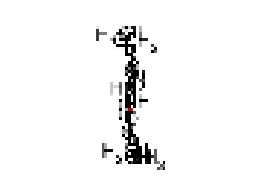 CC(C)(O)C(=O)c1ccc(CCOOC(=O)CC(=O)NCCNC(=O)CC(=O)OCCOc2ccc(C(=O)C(C)(C)O)cc2)cc1